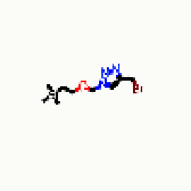 C[Si](C)(C)CCOCn1cc(CBr)nn1